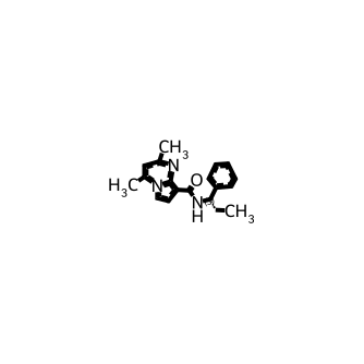 CC[C@H](NC(=O)c1ccn2c(C)cc(C)nc12)c1ccccc1